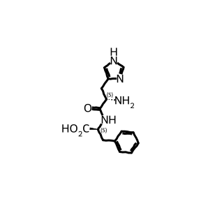 N[C@@H](Cc1c[nH]cn1)C(=O)N[C@@H](Cc1ccccc1)C(=O)O